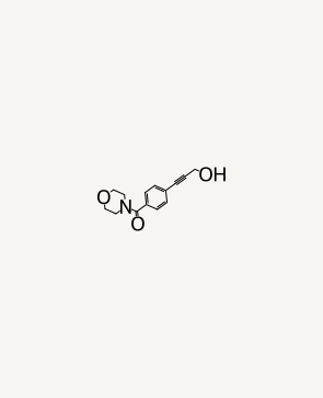 O=C(c1ccc(C#CCO)cc1)N1CCOCC1